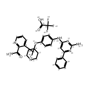 NC(=O)c1ncccc1C1CN2CCC1(Oc1ccc(Nc3cc(-c4ccccc4)nc(N)n3)cc1)CC2.O=C(O)C(F)(F)F